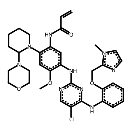 C=CC(=O)Nc1cc(Nc2ncc(Cl)c(Nc3ccccc3OCc3nccn3C)n2)c(OC)cc1N1CCCCC1N1CCOCC1